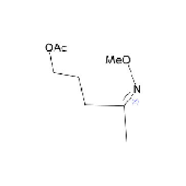 CO/N=C(/C)CCCOC(C)=O